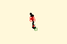 CC(C)(C)c1ccc(OC(CCCCCCc2ccc(Cl)cc2)C(=O)O)cc1